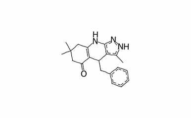 Cc1[nH]nc2c1C(Cc1ccccc1)C1=C(CC(C)(C)CC1=O)N2